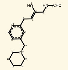 O=CNC/C(O)=C/Cc1cc(CN2CCCCC2)ccn1